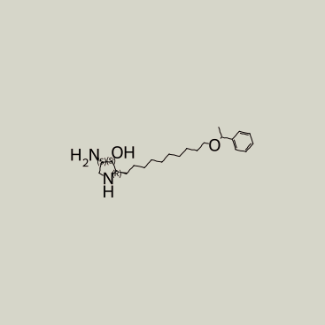 CC(OCCCCCCCCCC[C@H]1NC[C@H](N)[C@@H]1O)c1ccccc1